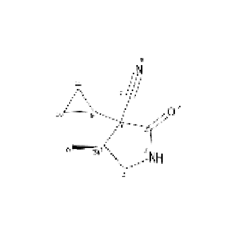 C[C@@H]1CNC(=O)C1(C#N)C1CC1